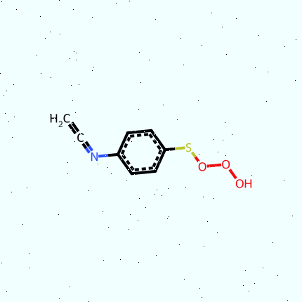 C=C=Nc1ccc(SOOO)cc1